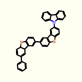 C1=CC2Sc3ccc(-c4ccc5sc6ccc(-n7c8ccccc8c8ccccc87)cc6c5c4)cc3C2C=C1c1ccccc1